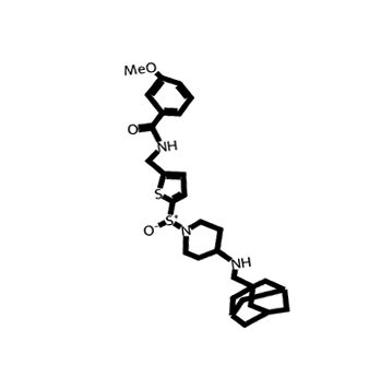 COc1cccc(C(=O)NCc2ccc([S+]([O-])N3CCC(NCC45CC6CC(CC(C6)C4)C5)CC3)s2)c1